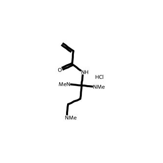 C=CC(=O)NC(CCNC)(NC)NC.Cl